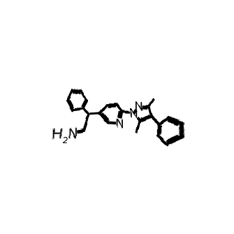 Cc1nn(-c2ccc(C(CN)c3ccccc3)cn2)c(C)c1-c1ccccc1